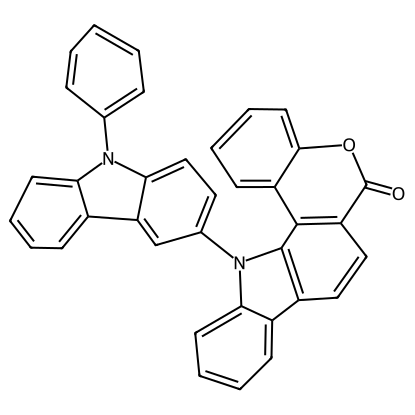 O=c1oc2ccccc2c2c1ccc1c3ccccc3n(-c3ccc4c(c3)c3ccccc3n4-c3ccccc3)c12